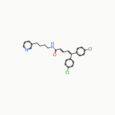 O=C(C=CC=C(c1ccc(Cl)cc1)c1ccc(Cl)cc1)NCCCCc1cccnc1